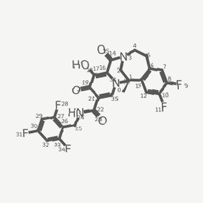 C[C@@]12CN(CCc3cc(F)c(F)cc31)C(=O)c1c(O)c(=O)c(C(=O)NCc3c(F)cc(F)cc3F)cn12